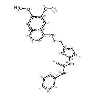 COc1cc2ncnc(NCCc3cnc(NC(=O)Nc4ccccc4)o3)c2cc1OC